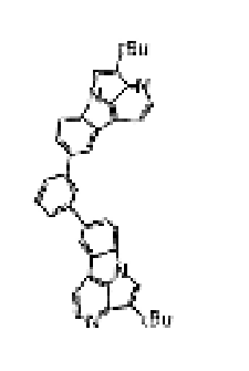 CC(C)(C)c1cn2c3ccc(-c4cccc(-c5ccc6c(c5)c5ccnc7c(C(C)(C)C)cn6c75)c4)cc3c3ccnc1c32